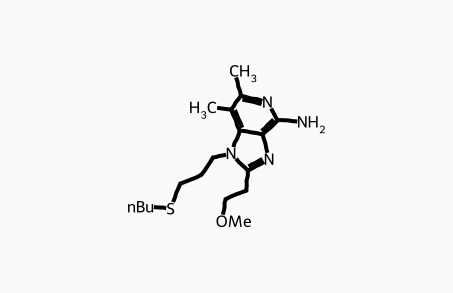 CCCCSCCCn1c(CCOC)nc2c(N)nc(C)c(C)c21